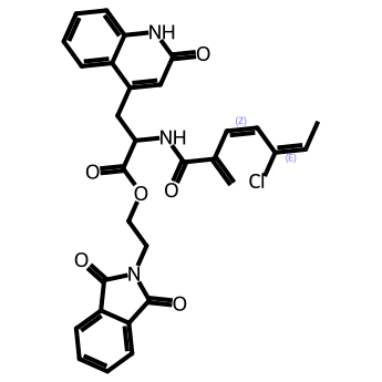 C=C(/C=C\C(Cl)=C/C)C(=O)NC(Cc1cc(=O)[nH]c2ccccc12)C(=O)OCCN1C(=O)c2ccccc2C1=O